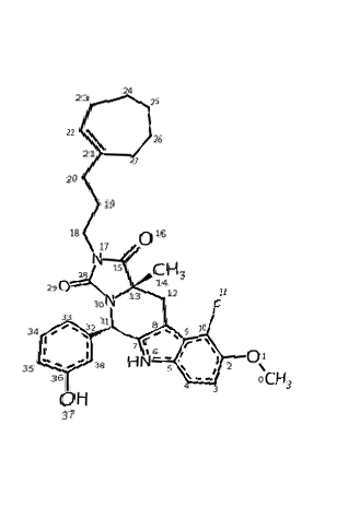 COc1ccc2[nH]c3c(c2c1F)C[C@@]1(C)C(=O)N(CCCC2=CCCCCC2)C(=O)N1[C@@H]3c1cccc(O)c1